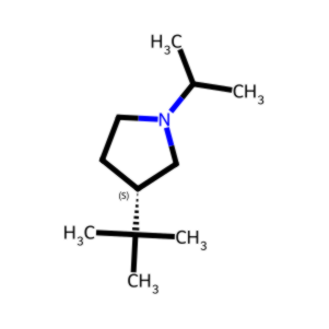 CC(C)N1CC[C@@H](C(C)(C)C)C1